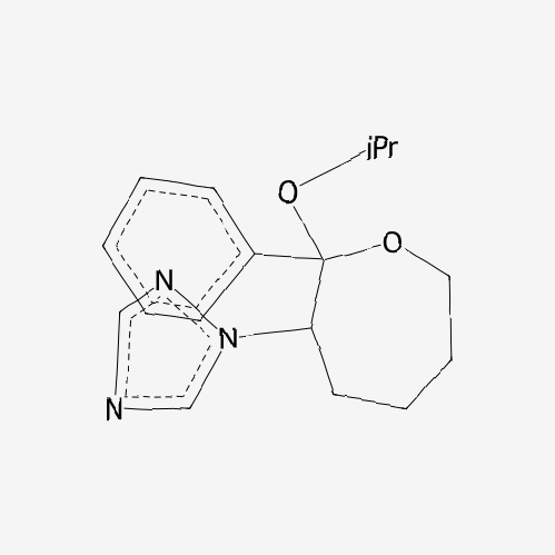 CC(C)OC1(c2ccccc2)OCCCCC1n1cncn1